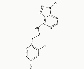 Cn1ncc2c(NCCc3ccc(Cl)cc3Cl)ncnc21